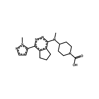 CN(c1nnc(-c2ccnn2C)c2c1CCC2)C1CCN(C(=O)O)CC1